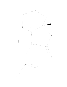 NC(=O)CN1C(=O)C[C@H]2CCCC[C@@H]21